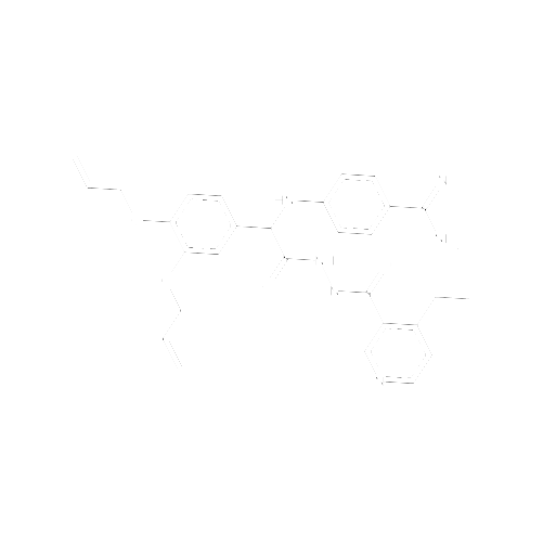 C=CCOc1ccc(C(Nc2ccc(C(=N)N)cc2)C(=O)NNC(=O)c2cnccc2CI)cc1OCC=C